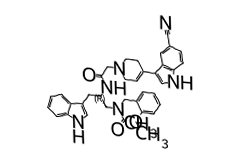 COc1ccccc1CN(C[C@@H](Cc1c[nH]c2ccccc12)NC(=O)CN1CC=C(c2c[nH]c3ccc(C#N)cc23)CC1)C(C)=O